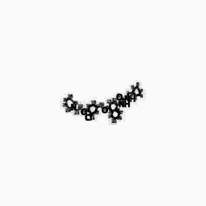 O=C(NCc1ccccc1)Nc1ccc(OCc2ccc(OCCN3CCCCC3)c(Cl)c2)c2ccccc12